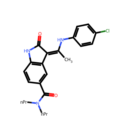 CCCN(CCC)C(=O)c1ccc2c(c1)/C(=C(\C)Nc1ccc(Cl)cc1)C(=O)N2